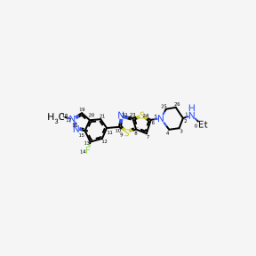 CCNC1CCN(c2cc3sc(-c4cc(F)c5nn(C)cc5c4)nc3s2)CC1